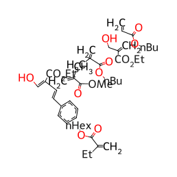 C=C(C)C(=O)OC.C=C(C)C(=O)OCCCC.C=C(CC)C(=O)OCCCCCC.C=C(CO)C(=O)OCC.C=CC(=O)OCCCC.CCOC(=O)C(C=Cc1ccccc1)=CO